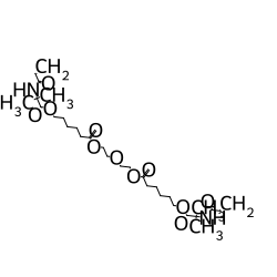 C=CC(=O)NC(C)(C)C(=O)OCCCCCC(=O)OCCOCCOC(=O)CCCCCOC(=O)C(C)(C)NC(=O)C=C